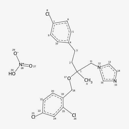 CC(CCc1ccc(Cl)cc1)(Cn1ccnc1)OCc1ccc(Cl)cc1Cl.O=[N+]([O-])O